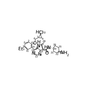 CCc1ccc(OCC2CC2)c(-c2ncnc3c(C(=O)N[C@H]4CC[C@H](N)CC4)c(C)[nH]c23)c1.Cl